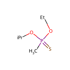 CCOP(C)(=S)OC(C)C